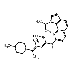 C=N/C(=C\C(C)=C(/C)N1CCN(C)CC1)Nc1ncc2ccc3ncn(C(C)C)c3c2n1